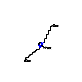 CCCCCCCCCCCCCCCCCCn1cc[n+](CCCCCCCCCCCCCCCCCC)c1CCCCC